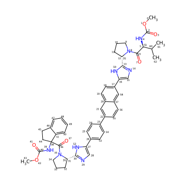 COC(=O)N[C@H](C(=O)N1CCC[C@H]1c1ncc(-c2ccc3cc(-c4ccc(-c5cnc([C@@H]6CCCN6C(=O)C6(NC(=O)OC)CCc7ccccc76)[nH]5)cc4)ccc3c2)[nH]1)C(C)C